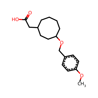 COc1ccc(COC2CCCCC(CC(=O)O)CC2)cc1